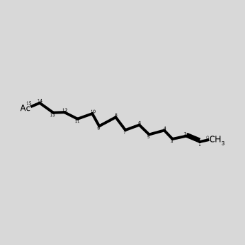 CC=CCCCCCCCCCCCCC(C)=O